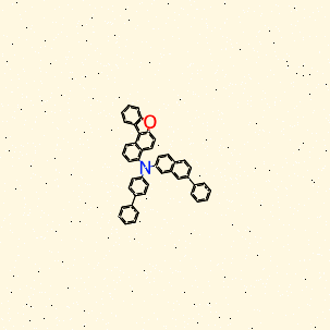 c1ccc(-c2ccc(N(c3ccc4ccc(-c5ccccc5)cc4c3)c3cccc4c3ccc3oc5ccccc5c34)cc2)cc1